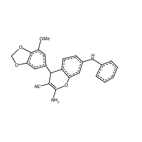 COc1cc(C2C(C#N)=C(N)Oc3cc(Nc4ccccc4)ccc32)cc2c1OCO2